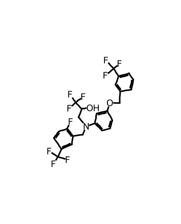 OC(CN(Cc1cc(C(F)(F)F)ccc1F)c1cccc(OCc2cccc(C(F)(F)F)c2)c1)C(F)(F)F